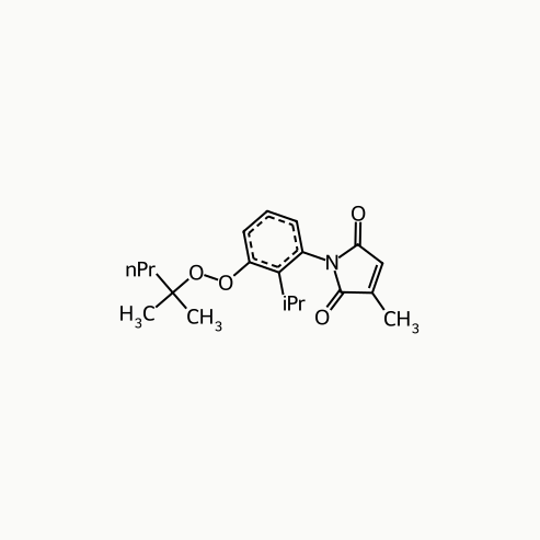 CCCC(C)(C)OOc1cccc(N2C(=O)C=C(C)C2=O)c1C(C)C